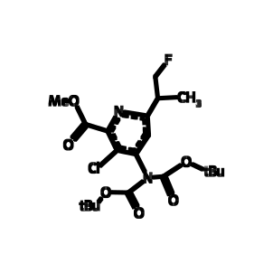 COC(=O)c1nc(C(C)CF)cc(N(C(=O)OC(C)(C)C)C(=O)OC(C)(C)C)c1Cl